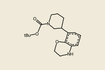 CC(C)(C)OC(=O)N1CCCC(c2cccc3c2OCCN3)C1